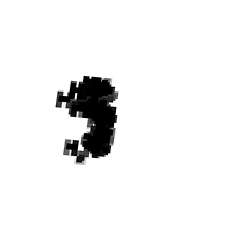 C=C(/C=C(\NN)C1CC1)Nc1nc(C2CC=C(S(N)(=O)=O)S2)ncc1F